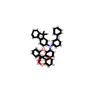 CC1(C)C2=C(C=CCC2)c2ccc(N(c3cccc(-c4ccccc4)c3)c3cccc4c3Oc3ccccc3C43c4ccccc4Oc4ccccc43)cc21